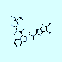 CN(C(=O)[C@H]1COC(C)(C)O1)[C@@H]1c2ccccc2C[C@H]1NC(=O)c1cc2sc(Cl)c(Cl)c2[nH]1